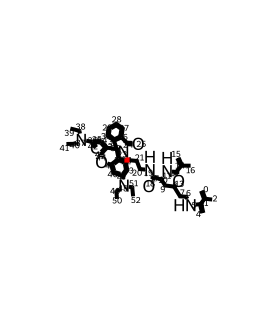 C=C(C)C(=C)NCCCCC(NC(=O)C(=C)C)C(=O)NCCCN1C(=O)c2ccccc2C12c1ccc(N(CC)CC)cc1Oc1cc(N(CC)CC)ccc12